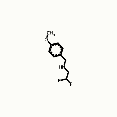 COc1ccc(CNCC(F)F)cc1